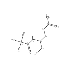 O=C(O)CCC(CF)NC(=O)C(F)(F)F